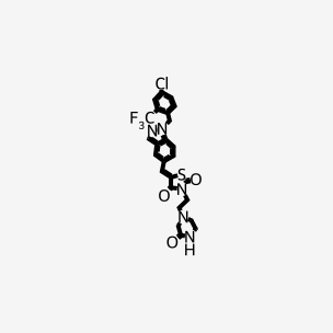 O=C1CN(CCN2C(=O)S/C(=C\c3ccc4c(cnn4Cc4ccc(Cl)cc4C(F)(F)F)c3)C2=O)CCN1